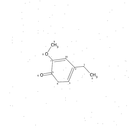 CCC1=CCC(=O)C(OC)=C1